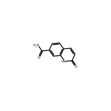 NC(=O)c1ccc2ccc(=O)[nH]c2c1